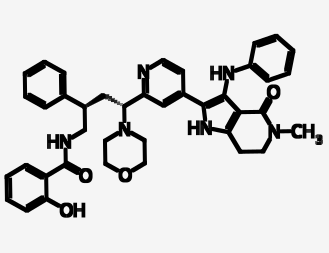 CN1CCc2[nH]c(-c3ccnc([C@@H](C[C@@H](CNC(=O)c4ccccc4O)c4ccccc4)N4CCOCC4)c3)c(Nc3ccccc3)c2C1=O